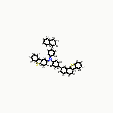 c1ccc2c(-c3ccc(N(c4ccc(-c5ccc6ccc7c8ccccc8sc7c6c5)cc4)c4ccc5sc6ccccc6c5c4)cc3)cccc2c1